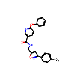 O=C(NCc1cc(-c2ccc([N+](=O)[O-])cc2)no1)c1ccc(Oc2ccccc2)nc1